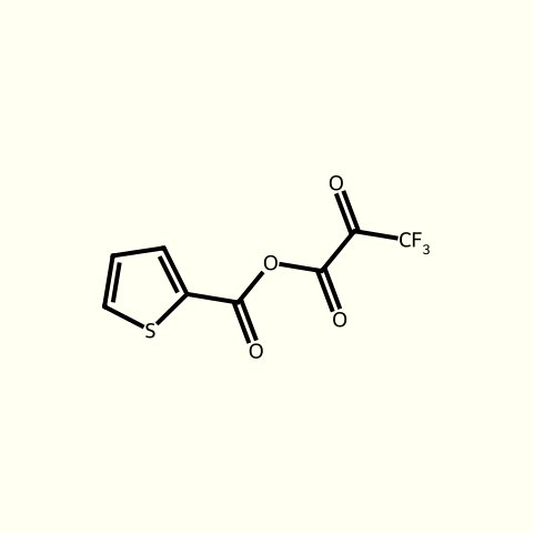 O=C(OC(=O)c1cccs1)C(=O)C(F)(F)F